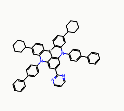 c1ccc(-c2ccc(N3c4cc(C5CCCCC5)ccc4B4c5ccc(C6CCCCC6)cc5N(c5ccc(-c6ccccc6)cc5)c5cc(-c6ncccn6)cc3c54)cc2)cc1